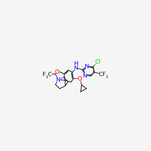 CC1=CC(Nc2ncc(C(F)(F)F)c(Cl)n2)=C(OC2CC2)CC12C1CC[N+]2(C(=O)C(F)(F)F)CC1